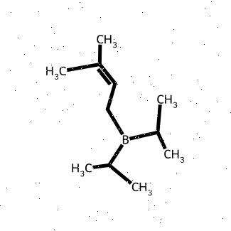 CC(C)=CCB(C(C)C)C(C)C